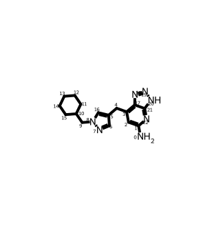 Nc1cc(Cc2cnn(CC3CCCCC3)c2)c2nn[nH]c2n1